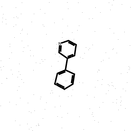 [c]1ccc(-c2cccnc2)cc1